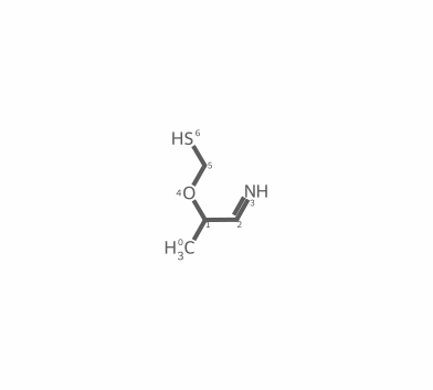 CC(C=N)OCS